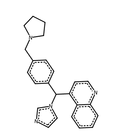 c1ccc2c(C(c3ccc(CN4CCCC4)cc3)n3ccnc3)ccnc2c1